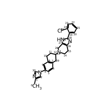 Cc1cn(-c2ccc3c(c2)CCC(N2CCc4nc(-c5ccccc5Cl)[nH]c4C2)C3)cn1